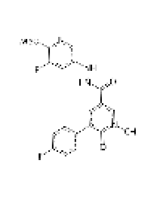 COc1ncc(NNC(=O)c2cc(-c3ccc(F)cc3)c(=O)n(C)c2)cc1F